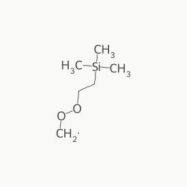 [CH2]OOCC[Si](C)(C)C